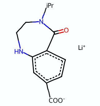 CC(C)N1CCNc2cc(C(=O)[O-])ccc2C1=O.[Li+]